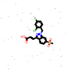 CS(=O)(=O)c1ccc2c(C=CC(=O)O)nn(Cc3ccc(F)cc3Cl)c2c1